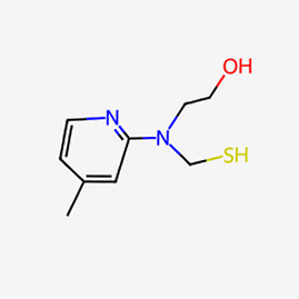 Cc1ccnc(N(CS)CCO)c1